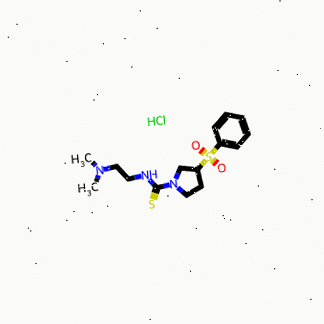 CN(C)CCNC(=S)N1CCC(S(=O)(=O)c2ccccc2)C1.Cl